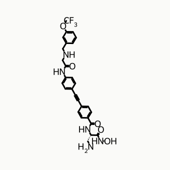 NC[C@H](NC(=O)c1ccc(C#Cc2ccc(NC(=O)CNCc3cccc(OC(F)(F)F)c3)cc2)cc1)C(=O)NO